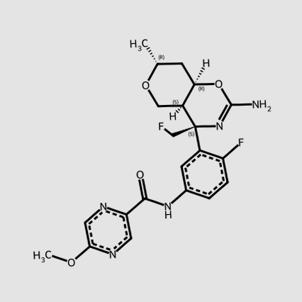 COc1cnc(C(=O)Nc2ccc(F)c([C@@]3(CF)N=C(N)O[C@@H]4C[C@@H](C)OC[C@@H]43)c2)cn1